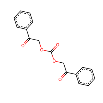 O=C(OCC(=O)c1ccccc1)OCC(=O)c1ccccc1